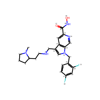 CN1CCCC1CCNCc1cn(Cc2ccc(F)cc2F)c2cnc(C(=O)NO)cc12